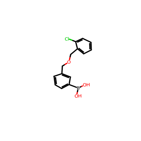 OB(O)c1cccc(COCc2ccccc2Cl)c1